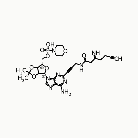 C#CCCC(=N)CC(=O)NCC#Cc1nc(N)c2ncn([C@H]3O[C@@H](COP(=O)(O)N4CCOCC4)C4OC(C)(C)OC43)c2n1